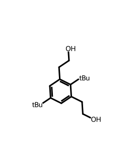 CC(C)(C)c1cc(CCO)c(C(C)(C)C)c(CCO)c1